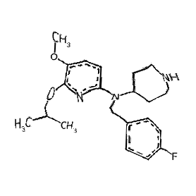 COc1ccc(N(Cc2ccc(F)cc2)C2CCNCC2)nc1OC(C)C